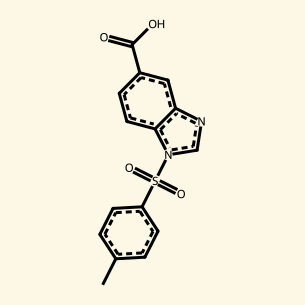 Cc1ccc(S(=O)(=O)n2cnc3cc(C(=O)O)ccc32)cc1